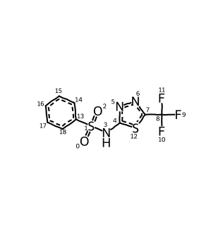 O=S(=O)(Nc1nnc(C(F)(F)F)s1)c1ccccc1